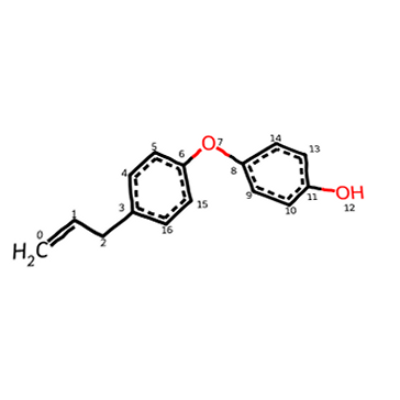 C=CCc1ccc(Oc2ccc(O)cc2)cc1